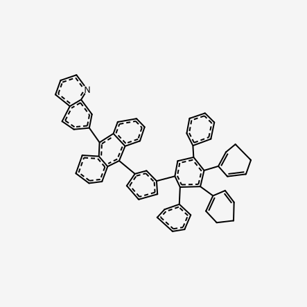 C1=CC(c2c(-c3ccccc3)cc(-c3cccc(-c4c5ccccc5c(-c5ccc6cccnc6c5)c5ccccc45)c3)c(-c3ccccc3)c2C2=CCCC=C2)=CCC1